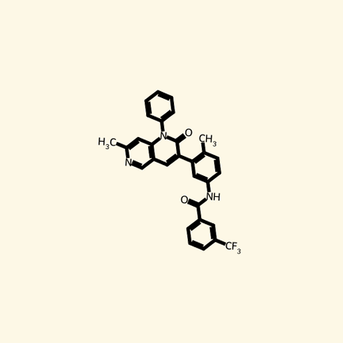 Cc1cc2c(cn1)cc(-c1cc(NC(=O)c3cccc(C(F)(F)F)c3)ccc1C)c(=O)n2-c1ccccc1